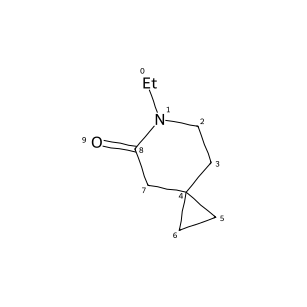 CCN1CCC2(CC2)CC1=O